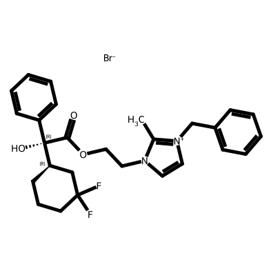 Cc1n(CCOC(=O)[C@](O)(c2ccccc2)[C@@H]2CCCC(F)(F)C2)cc[n+]1Cc1ccccc1.[Br-]